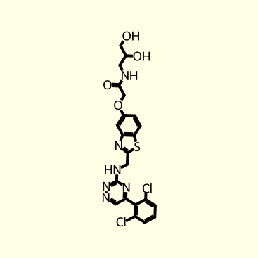 O=C(COc1ccc2sc(CNc3nncc(-c4c(Cl)cccc4Cl)n3)nc2c1)NCC(O)CO